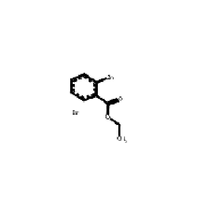 CCOC(=O)c1cccc[c]1[Zn+].[Br-]